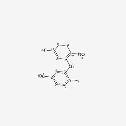 Cc1ccc(C(C)(C)C)cc1OC1=C(N=O)CCC(F)=C1